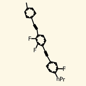 CCCc1ccc(C#Cc2ccc(C#Cc3ccc(C)cc3)c(F)c2F)cc1F